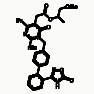 CCCCc1nc(C(C)C)c(CC(=O)OC(C)COC)c(=O)n1Cc1ccc(-c2ccccc2-c2noc(=O)[nH]2)cc1